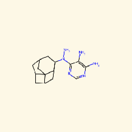 Nc1ncnc(N(N)C23CC4CC5CC(C2)C5(C4)C3)c1N